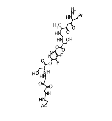 CC(=O)CNNCC(=O)C(=O)CNN[C@@H](CO)C(=O)Oc1nnc(OC(=O)[C@H](CO)NCN[C@@H](C)C(=O)CC(=O)[C@H](CC(C)C)NN)c(F)c1F